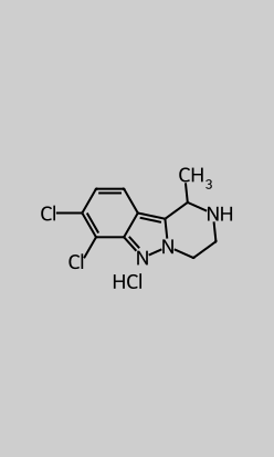 CC1NCCn2nc3c(Cl)c(Cl)ccc3c21.Cl